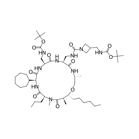 CCCCCC[C@H]1OC[C@@H](C)NC(=O)[C@H](CNC(=O)N2CC(CNC(=O)OC(C)(C)C)C2)NC(=O)[C@H](CNC(=O)OC(C)(C)C)NC(=O)[C@H](C2CCCCCC2)NC(=O)[C@H](CCC)N(C)C(=O)[C@@H]1C